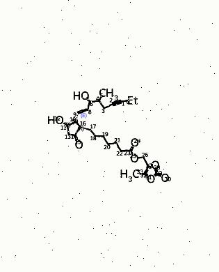 CCC#CCC(C)C(O)/C=C/[C@H]1[C@H](O)CC(=O)[C@@H]1CCCCCCC(=O)OCc1oc(=O)oc1C